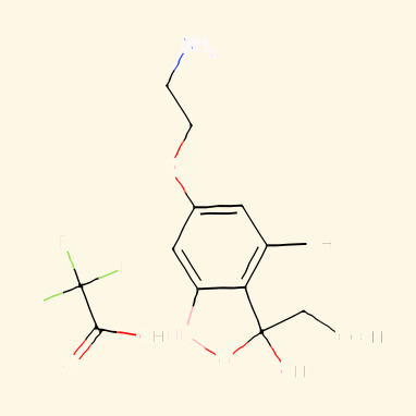 Cc1cc(OCCN)cc2c1C(O)(CC(=O)O)OB2.O=C(O)C(F)(F)F